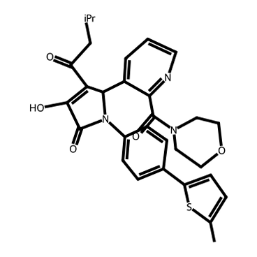 Cc1ccc(-c2ccc(N3C(=O)C(O)=C(C(=O)CC(C)C)C3c3cccnc3C(=O)N3CCOCC3)cc2)s1